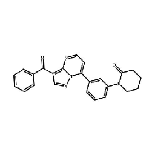 O=C(c1ccccc1)c1cnn2c(-c3cccc(N4CCCCC4=O)c3)ccnc12